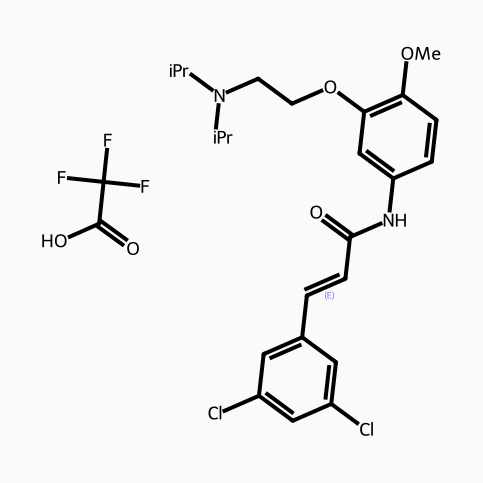 COc1ccc(NC(=O)/C=C/c2cc(Cl)cc(Cl)c2)cc1OCCN(C(C)C)C(C)C.O=C(O)C(F)(F)F